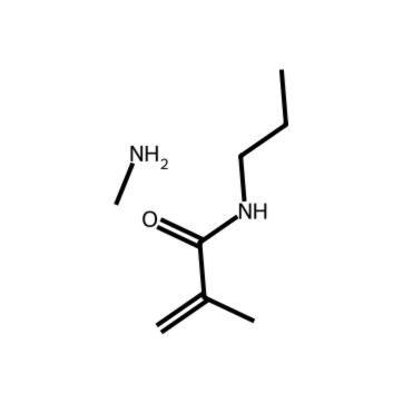 C=C(C)C(=O)NCCC.CN